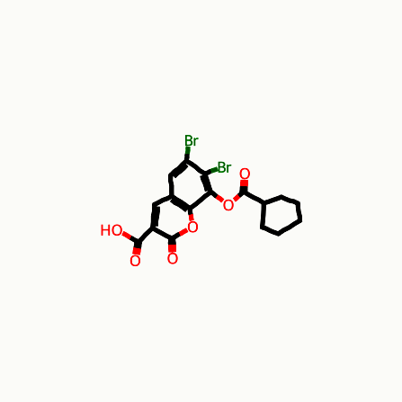 O=C(O)c1cc2cc(Br)c(Br)c(OC(=O)C3CCCCC3)c2oc1=O